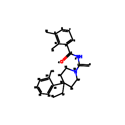 C=C(NC(=O)c1cccc(C)c1C)N1CCC(CC)(c2ccccc2C)CC1